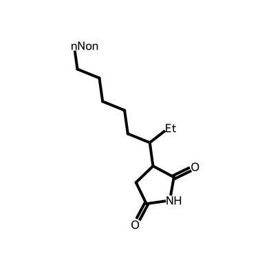 CCCCCCCCCCCCCCC(CC)C1CC(=O)NC1=O